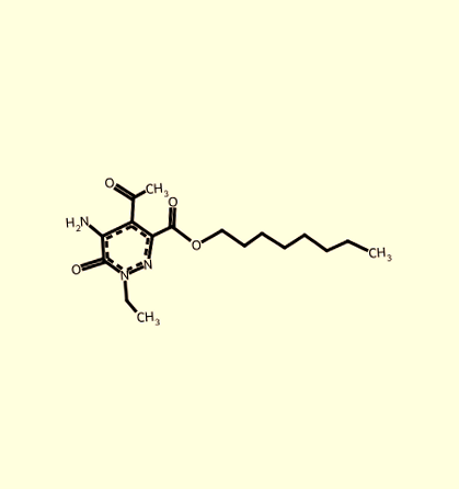 CCCCCCCCOC(=O)c1nn(CC)c(=O)c(N)c1C(C)=O